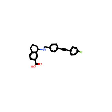 O=C(O)c1ccc2c(c1)C(NCc1ccc(C#Cc3ccc(F)cc3)cc1)CCC2